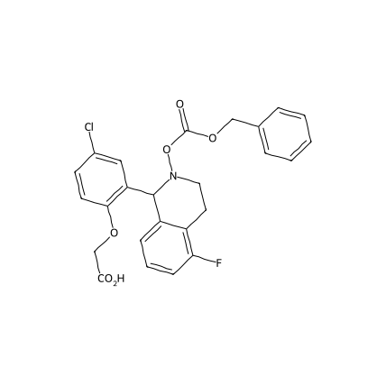 O=C(O)COc1ccc(Cl)cc1C1c2cccc(F)c2CCN1OC(=O)OCc1ccccc1